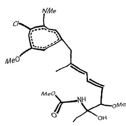 CNc1cc(C/C(C)=C/C=C/C(OC)C(C)(O)NC(=O)OC)cc(OC)c1Cl